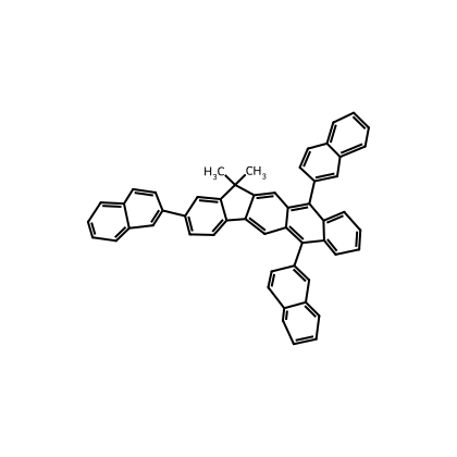 CC1(C)c2cc(-c3ccc4ccccc4c3)ccc2-c2cc3c(-c4ccc5ccccc5c4)c4ccccc4c(-c4ccc5ccccc5c4)c3cc21